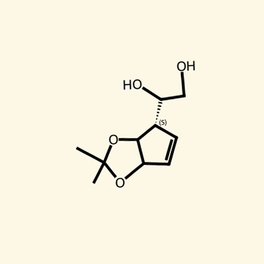 CC1(C)OC2C=C[C@@H](C(O)CO)C2O1